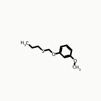 CCCSCOc1cccc(OC)c1